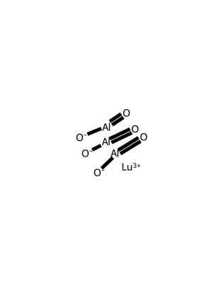 [Lu+3].[O]=[Al][O-].[O]=[Al][O-].[O]=[Al][O-]